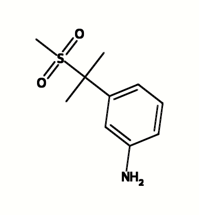 CC(C)(c1cccc(N)c1)S(C)(=O)=O